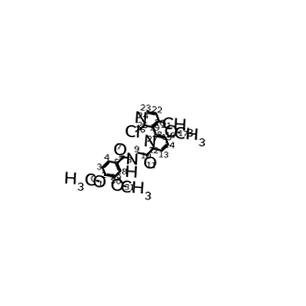 COc1ccc(C(=O)NCC(=O)c2ccc(OC)c(-c3c(C)ccnc3Cl)n2)cc1OC